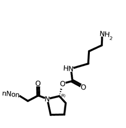 CCCCCCCCCCC(=O)N1CCC[C@H]1OC(=O)NCCCN